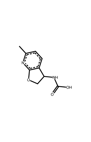 Cc1ccc2c(n1)OCC2NC(=O)O